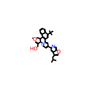 C=C(CO)C1C(COC)c2c(cc(C(C)(C)C)c3ccccc23)-c2cc(-c3cc4c(CC(C)C)coc4cn3)cc[n+]21